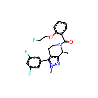 C[C@H]1c2nn(C)c(-c3cc(F)cc(F)c3)c2CCN1C(=O)c1ccccc1OCCF